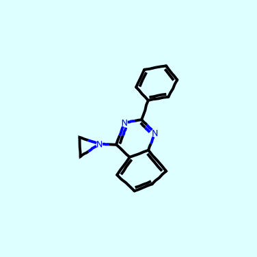 c1ccc(-c2nc(N3CC3)c3ccccc3n2)cc1